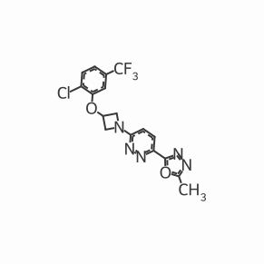 Cc1nnc(-c2ccc(N3CC(Oc4cc(C(F)(F)F)ccc4Cl)C3)nn2)o1